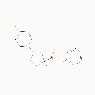 CC1(C(=O)Oc2ccccc2)CCN(c2ccc(Cl)cc2)C1